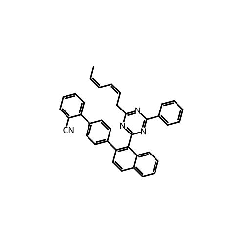 C/C=C\C=C/Cc1nc(-c2ccccc2)nc(-c2c(-c3ccc(-c4ccccc4C#N)cc3)ccc3ccccc23)n1